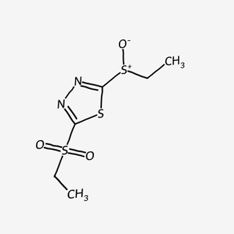 CC[S+]([O-])c1nnc(S(=O)(=O)CC)s1